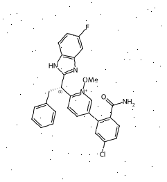 CO[n+]1cc(-c2cc(Cl)ccc2C(N)=O)ccc1[C@H](Cc1ccccc1)c1nc2cc(F)ccc2[nH]1